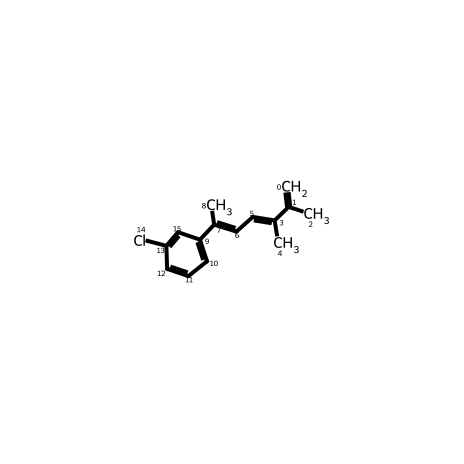 C=C(C)/C(C)=C/C=C(\C)c1cccc(Cl)c1